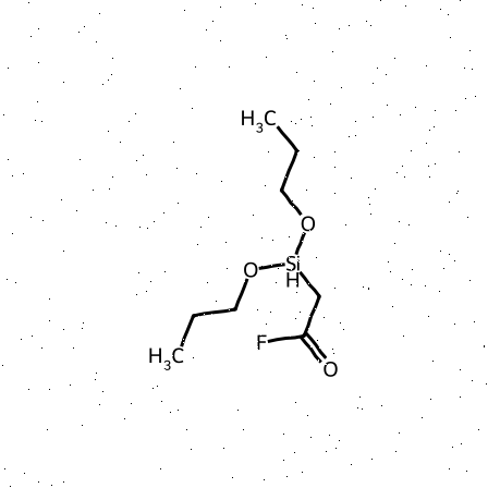 CCCO[SiH](CC(=O)F)OCCC